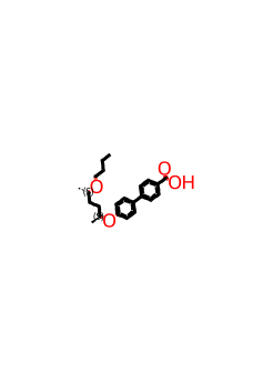 CCCCO[C@@H](C)CC[C@H](C)Oc1ccc(-c2ccc(C(=O)O)cc2)cc1